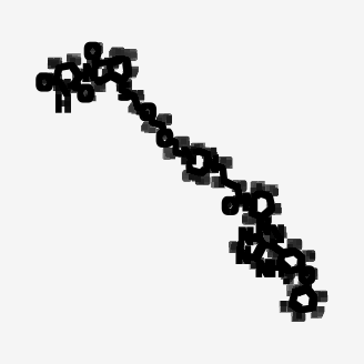 Nc1ncnc2c1c(-c1ccc(Oc3ccccc3)cc1)nn2[C@@H]1CCCN(C(=O)CCCN2CCN(CCOCCOCCSc3cccc4c3CN(C3CCC(=O)NC3=O)C4=O)CC2)C1